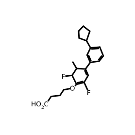 CC1C(c2cccc(C3CCCC3)c2)=CC(F)=C(OCCCC(=O)O)C1F